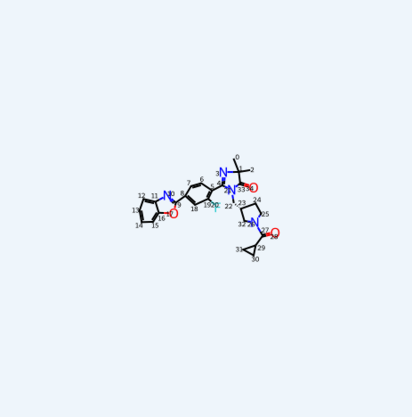 CC1(C)N=C(c2ccc(-c3nc4ccccc4o3)cc2F)N(C[C@@H]2CCN(C(=O)C3CC3)C2)C1=O